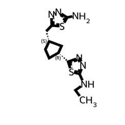 CCNc1nnc([C@@H]2CC[C@H](Cc3nnc(N)s3)C2)s1